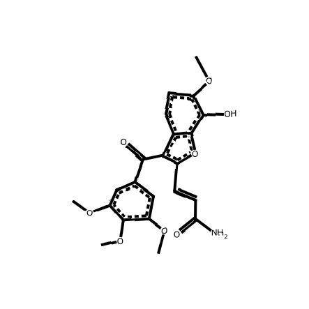 COc1cc(C(=O)c2c(C=CC(N)=O)oc3c(O)c(OC)ccc23)cc(OC)c1OC